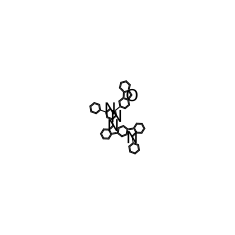 c1ccc(-c2cc(-n3c4ccccc4c4cc5c(cc43)c3ccccc3n5-c3ccccc3)nc(-c3ccc4oc5ccccc5c4c3)n2)cc1